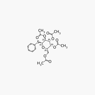 CC(=O)OC[C@H]1O[C@@H](Sc2ccccc2)[C@@H](OC(C)=O)[C@H](OC(C)=O)[C@@H]1OC(C)=O